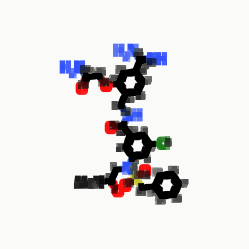 CNC(=O)CN(c1cc(Cl)cc(C(=O)NCc2ccc(C(=N)N)cc2OCC(N)=O)c1)S(=O)(=O)Cc1ccccc1